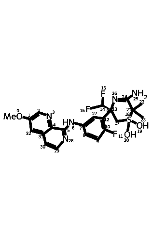 COc1cnc2c(Nc3ccc(F)c([C@@]4(C(F)F)CS(O)(O)C(C)(C)C(N)=N4)c3)nccc2c1